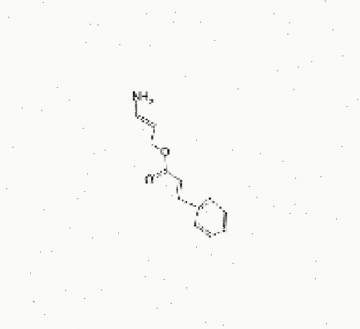 NC=CCOC(=O)C=Cc1ccccc1